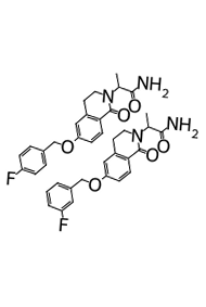 CC(C(N)=O)N1CCc2cc(OCc3ccc(F)cc3)ccc2C1=O.CC(C(N)=O)N1CCc2cc(OCc3cccc(F)c3)ccc2C1=O